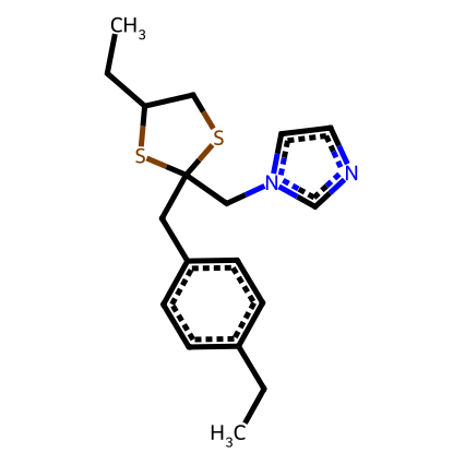 CCc1ccc(CC2(Cn3ccnc3)SCC(CC)S2)cc1